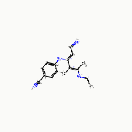 CCN/C(C)=C(C)/C(=C/C=N)Nc1ccc(C#N)cc1